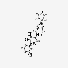 O=c1c(Cl)c(N2CCc3nc(-c4ccccc4)sc3C2)cnn1-c1cccc(Cl)c1